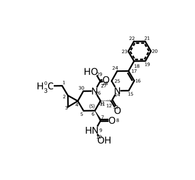 CCC1CC12C[C@H](C(=O)NO)[C@@H](C(=O)N1CC=C(c3ccccc3)CC1)N(C(=O)O)C2